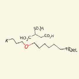 CCCCCCCCCCCCCCCCOCC[CH2][K].O=C(O)CC(C(=O)O)S(=O)(=O)O